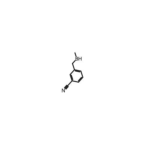 CBCc1cccc(C#N)c1